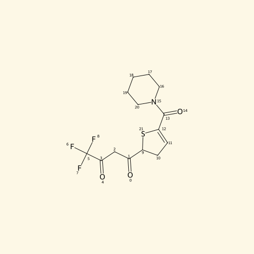 O=C(CC(=O)C(F)(F)F)C1CC=C(C(=O)N2CCCCC2)S1